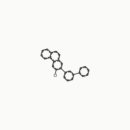 Clc1cc2c(ccc3ccccc32)cc1-c1cccc(-c2ccccc2)c1